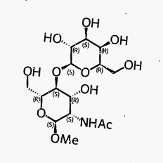 CO[C@H]1O[C@H](CO)[C@@H](O[C@@H]2O[C@H](CO)[C@H](O)[C@H](O)[C@H]2O)[C@H](O)[C@@H]1NC(C)=O